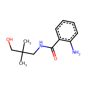 CC(C)(CO)CNC(=O)c1ccccc1N